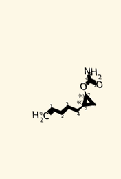 C=CCCC[C@@H]1C[C@H]1OC(N)=O